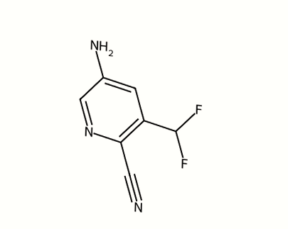 N#Cc1ncc(N)cc1C(F)F